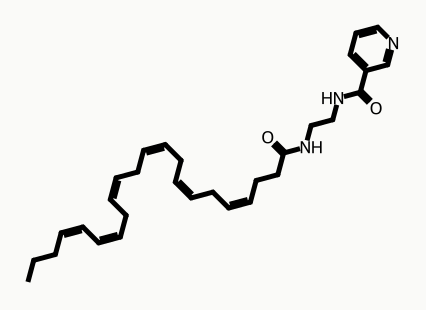 CCC/C=C\C=C/C/C=C\C/C=C\C/C=C\C/C=C\CCC(=O)NCCNC(=O)c1cccnc1